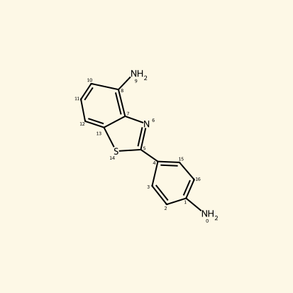 Nc1ccc(-c2nc3c(N)cccc3s2)cc1